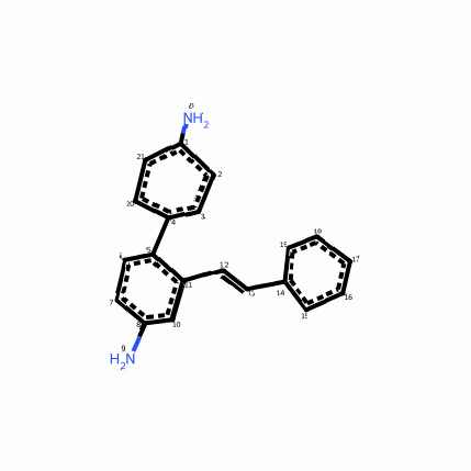 Nc1ccc(-c2ccc(N)cc2C=Cc2ccccc2)cc1